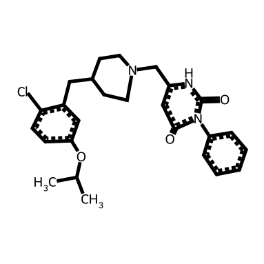 CC(C)Oc1ccc(Cl)c(CC2CCN(Cc3cc(=O)n(-c4ccccc4)c(=O)[nH]3)CC2)c1